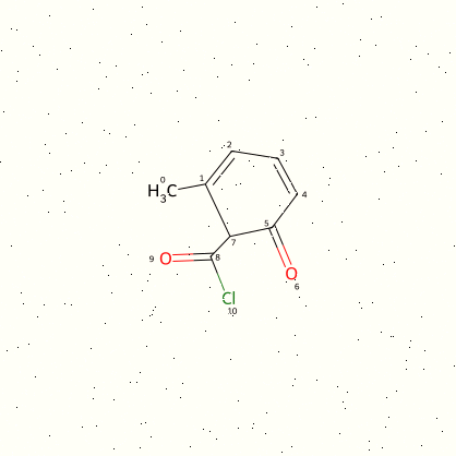 CC1=CC=CC(=O)C1C(=O)Cl